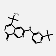 CC(C)(N)c1c[nH]c(=O)c2cnc(Nc3ccnc(C(C)(C)F)n3)cc12